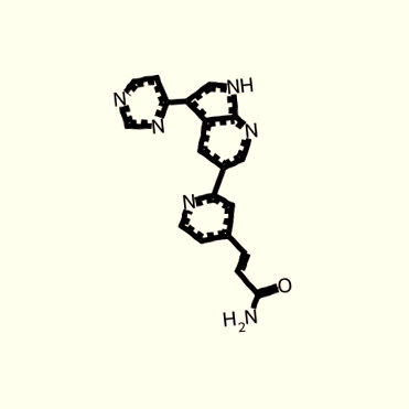 NC(=O)C=Cc1ccnc(-c2cnc3[nH]cc(-c4ccncn4)c3c2)c1